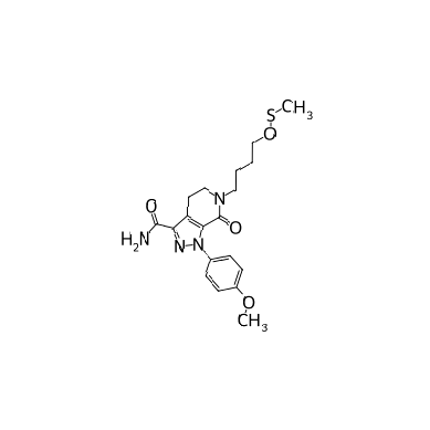 COc1ccc(-n2nc(C(N)=O)c3c2C(=O)N(CCCCOSC)CC3)cc1